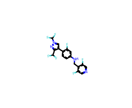 Fc1cc(NCc2c(F)cncc2F)ccc1-c1cn(C(F)F)nc1C(F)F